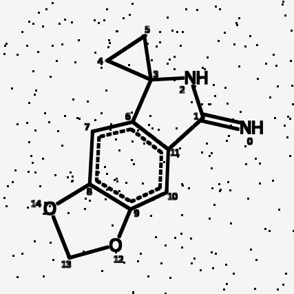 N=C1NC2(CC2)c2cc3c(cc21)OCO3